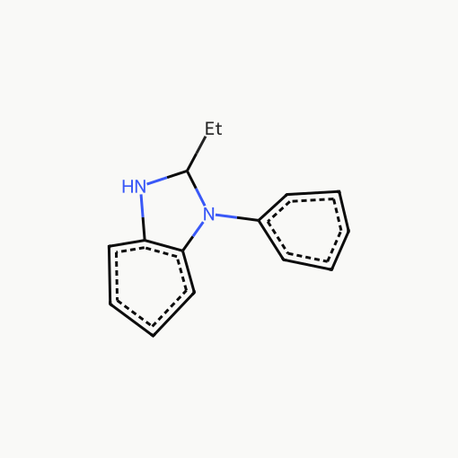 CCC1Nc2ccccc2N1c1ccccc1